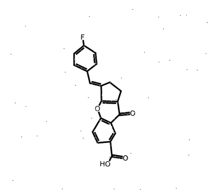 O=C(O)c1ccc2oc3c(c(=O)c2c1)CCC3=Cc1ccc(F)cc1